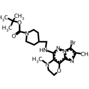 Cc1nc2c3c(c(NCC4CCN(C(=O)OC(C)(C)C)CC4)nn2c1Br)N(C)CCO3